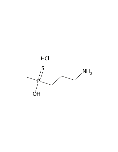 CP(O)(=S)CCCN.Cl